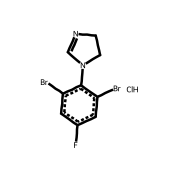 Cl.Fc1cc(Br)c(N2C=NCC2)c(Br)c1